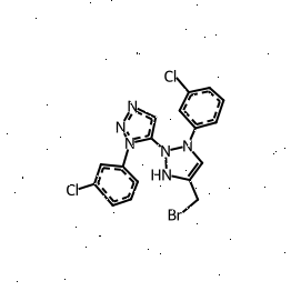 Clc1cccc(N2C=C(CBr)NN2c2cnnn2-c2cccc(Cl)c2)c1